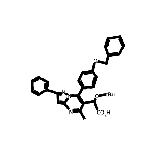 Cc1nc2cc(-c3ccccc3)nn2c(-c2ccc(OCc3ccccc3)cc2)c1C(OC(C)(C)C)C(=O)O